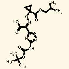 CC(C)COC(=O)C1(O/N=C(\C(=O)O)c2nsc(NC(=O)OC(C)(C)C)n2)CC1